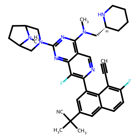 C#Cc1c(F)ccc2cc(C(C)(C)C#N)cc(-c3ncc4c(N(C)C[C@H]5CCCCN5)nc(N5CC6CCC(C5)N6C)nc4c3F)c12